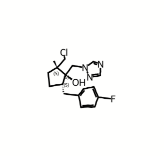 C[C@]1(CCl)CC[C@@H](Cc2ccc(F)cc2)[C@@]1(O)Cn1cncn1